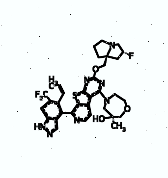 C/C=C\c1c(C(F)(F)F)cc2[nH]ncc2c1-c1nccc2c1sc1nc(OC[C@@]34CCCN3C[C@H](F)C4)nc(N3CCOC[C@@](C)(O)C3)c12